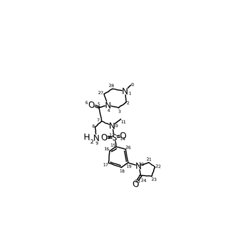 CN1CCN(C(=O)C(CN)N(C)S(=O)(=O)c2cccc(N3CCCC3=O)c2)CC1